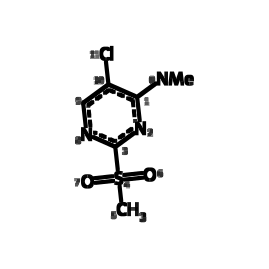 CNc1nc(S(C)(=O)=O)ncc1Cl